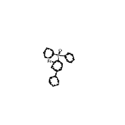 O=P(c1ccccc1)(c1ccccc1)c1ccc(-c2ccccc2)cc1Br